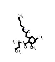 C=CCC/C=C/C(=O)Cc1cc(C)cc(C)c1C(=O)O[C@@H](C)CC=C